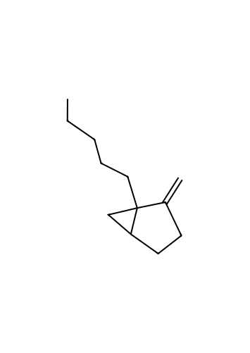 C=C1CCC2CC12CCCCC